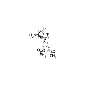 CC(=O)OCC(CCn1cnc2c(I)nc(N)nc21)COC(C)=O